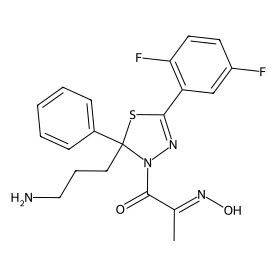 CC(=NO)C(=O)N1N=C(c2cc(F)ccc2F)SC1(CCCN)c1ccccc1